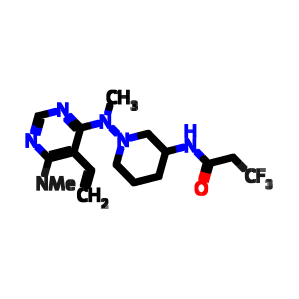 C=Cc1c(NC)ncnc1N(C)N1CCCC(NC(=O)CC(F)(F)F)C1